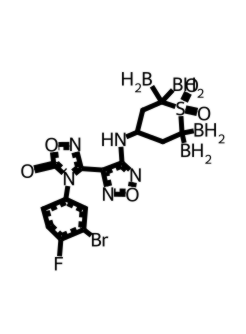 BC1(B)CC(Nc2nonc2-c2noc(=O)n2-c2ccc(F)c(Br)c2)CC(B)(B)S1(=O)=O